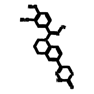 COc1ccc(C(=NC(C)C)N2CCCc3cc(C4=NNC(=O)SC4)ccc32)cc1OC